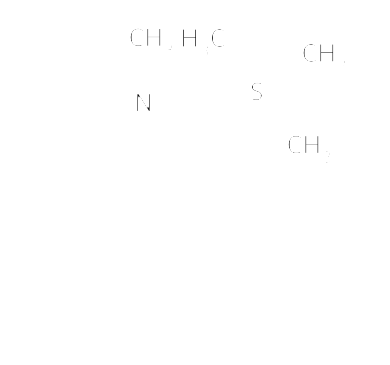 CN(Cc1ccccc1)CS(C)(C)C